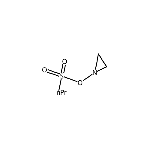 CCCS(=O)(=O)ON1CC1